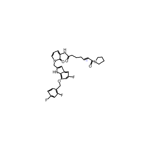 O=C(CCC/C=C/C(=O)N1CCCC1)Nc1cccn(Cc2cc3cc(F)cc(OCc4ccc(F)cc4F)c3[nH]2)c1=O